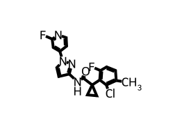 Cc1ccc(F)c(C2(C(=O)Nc3ccn(-c4ccnc(F)c4)n3)CC2)c1Cl